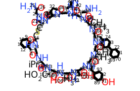 CC(C)[C@@H]1NC(=O)[C@H](Cc2ccccc2)NC(=O)CSC[C@@H](C(=O)NCC(N)=O)NC(=O)[C@@H]2CCCN2C(=O)[C@H](Cc2cnc[nH]2)NC(=O)[C@H](CC(N)=O)NC(=O)[C@H](C)N(C)C(=O)[C@H](Cc2ccc(-c3ccccc3)cc2)NC(=O)[C@H](C)N(C)C(=O)[C@H](CCc2ccc(O)cc2)NC(=O)[C@H]([C@@H](C)O)NC(=O)[C@H](CO)NC(=O)[C@H](CC(=O)O)NC1=O